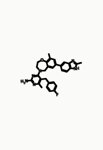 Cc1nc2cc(-c3cc(C)c4c(c3)CN(c3nc(N)nc(C)c3Cc3ccc(F)cc3)CCO4)ccc2[nH]1